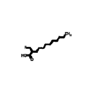 CCCCCCCCCCC(CF)C(=O)O